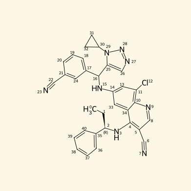 CC[C@@H](Nc1c(C#N)cnc2c(Cl)cc(NC(c3cccc(C#N)c3)c3cnnn3C3CC3)cc12)c1ccccc1